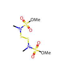 COS(=O)(=O)N(C)SSN(C)S(=O)(=O)OC